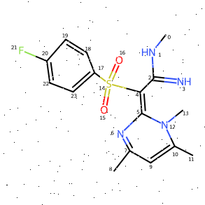 CNC(=N)/C(=C1/N=C(C)C=C(C)N1C)S(=O)(=O)c1ccc(F)cc1